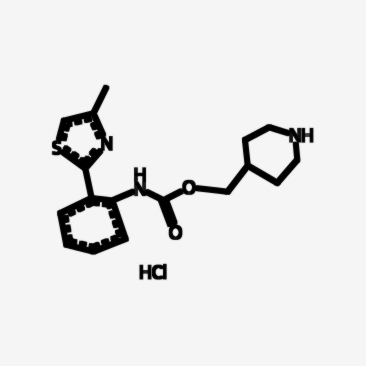 Cc1csc(-c2ccccc2NC(=O)OCC2CCNCC2)n1.Cl